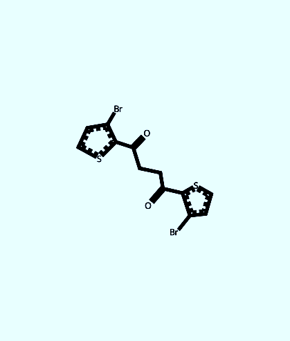 O=C(CCC(=O)c1sccc1Br)c1sccc1Br